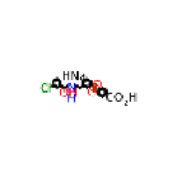 O=C(O)c1ccc(S(=O)(=O)c2cccc(CCNC[C@@H](O)c3cccc(Cl)c3)c2)cc1.[NaH]